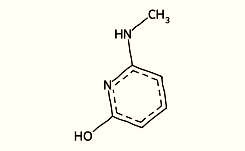 CNc1cccc(O)n1